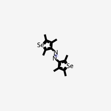 Cc1[se]c(C)c(/N=N/c2c(C)[se]c(C)c2C)c1C